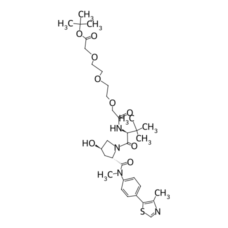 Cc1ncsc1-c1ccc(N(C)C(=O)[C@@H]2C[C@@H](O)CN2C(=O)[C@@H](NC(=O)COCCOCCOCC(=O)OC(C)(C)C)C(C)(C)C)cc1